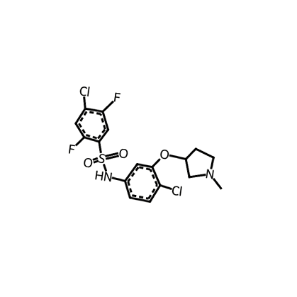 CN1CCC(Oc2cc(NS(=O)(=O)c3cc(F)c(Cl)cc3F)ccc2Cl)C1